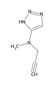 C#CCN(C)c1cnn[nH]1